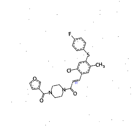 Cc1cc(/C=C/C(=O)N2CCN(C(=O)c3ccoc3)CC2)c(Cl)cc1Sc1ccc(F)cc1